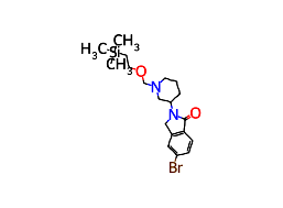 C[Si](C)(C)CCOCN1CCCC(N2Cc3cc(Br)ccc3C2=O)C1